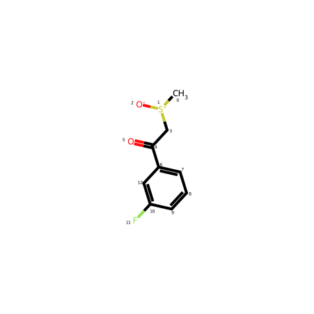 C[S+]([O-])CC(=O)c1cccc(F)c1